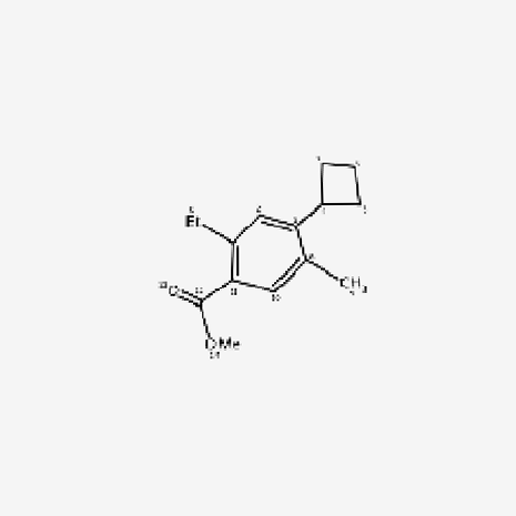 CCc1cc(C2CCC2)c(C)cc1C(=O)OC